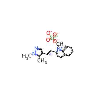 Cc1c(/C=C/c2ccc3ccccc3[n+]2C)cnn1C.[O-][Cl+3]([O-])([O-])[O-]